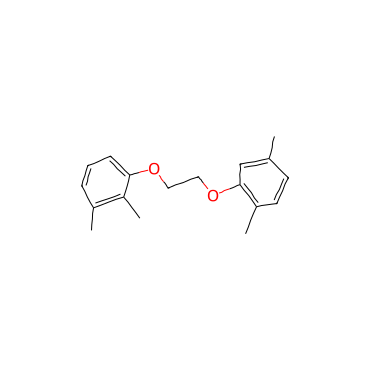 Cc1ccc(C)c(OCCOc2cccc(C)c2C)c1